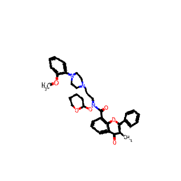 COc1ccccc1N1CCN(CCCN(OC2CCCCO2)C(=O)c2cccc3c(=O)c(C)c(-c4ccccc4)oc23)CC1